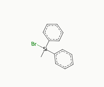 C[Si](Br)(c1ccccc1)c1ccccc1